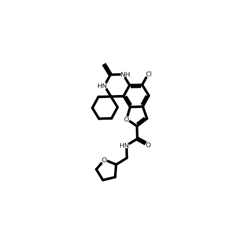 C=C1Nc2c(Cl)cc3cc(C(=O)NCC4CCCO4)oc3c2C2(CCCCC2)N1